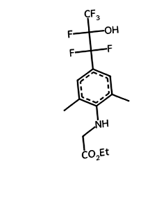 CCOC(=O)CNc1c(C)cc(C(F)(F)C(O)(F)C(F)(F)F)cc1C